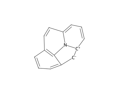 c1cc2ccc3ccc[c+]4[cH-]c(c1)c2n34